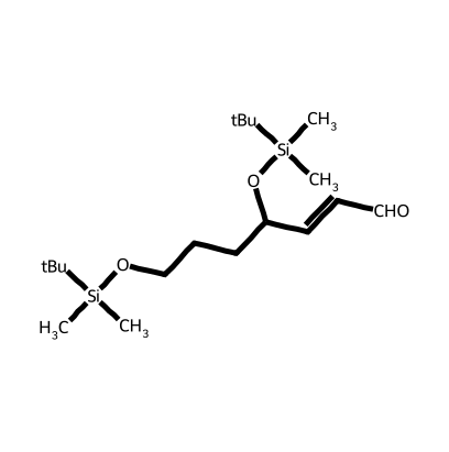 CC(C)(C)[Si](C)(C)OCCCC(C=CC=O)O[Si](C)(C)C(C)(C)C